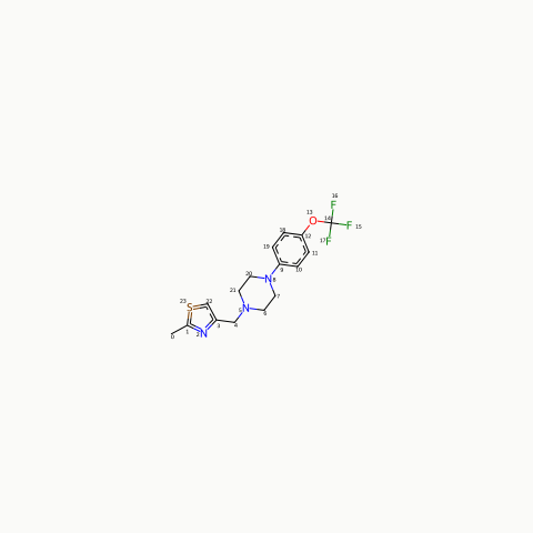 Cc1nc(CN2CCN(c3ccc(OC(F)(F)F)cc3)CC2)cs1